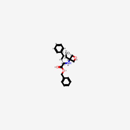 O=C(OCc1ccccc1)[C@H](CCc1ccccc1)NC1(C[N+](=O)[O-])COC1